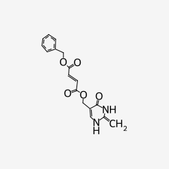 C=C1NC=C(COC(=O)/C=C/C(=O)OCc2ccccc2)C(=O)N1